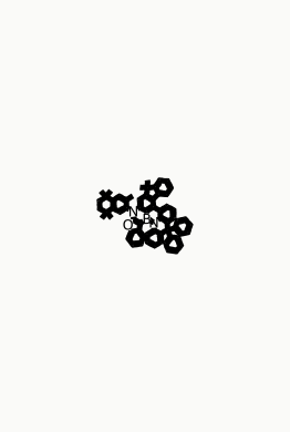 Cc1cc2c(cc1N1c3cc4c(c5c3B(c3c1oc1ccccc31)N1c3ccccc3C(c3ccccc3)(c3ccccc3)c3cccc-5c31)-c1ccccc1C4(C)C)C(C)(C)CCC2(C)C